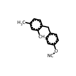 Cc1ccc(Cc2ccc(OC#N)cc2)c(C)c1